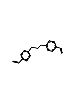 C=Cc1ccc(CCCc2ccc(C=C)cc2)cc1